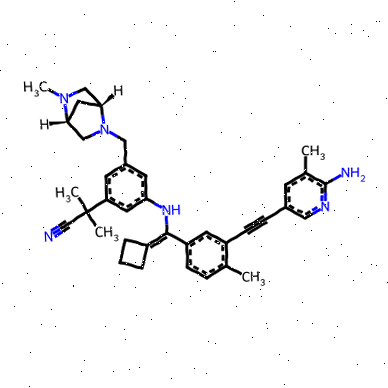 Cc1ccc(C(Nc2cc(CN3C[C@H]4C[C@@H]3CN4C)cc(C(C)(C)C#N)c2)=C2CCC2)cc1C#Cc1cnc(N)c(C)c1